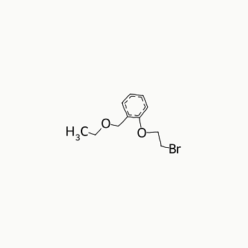 CCOCc1ccccc1OCCBr